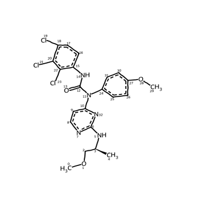 COC[C@H](C)Nc1nccc(N(C(=O)Nc2ccc(Cl)c(Cl)c2Cl)c2ccc(OC)cc2)n1